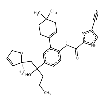 CCCC(O)(C[C@@]1(C)C=CCO1)c1ccc(NC(=O)c2nc(C#N)c[nH]2)c(C2=CCC(C)(C)CC2)c1